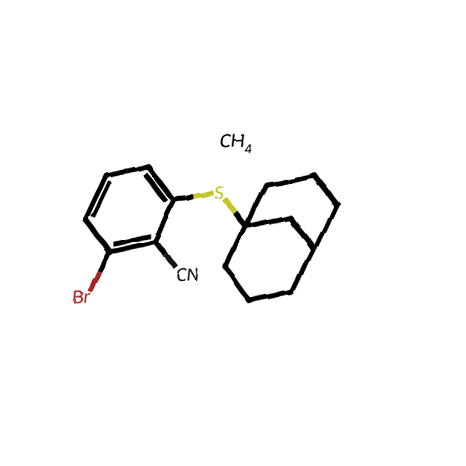 C.N#Cc1c(Br)cccc1SC12CCCC(CCC1)C2